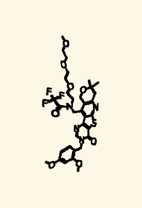 COCCOCCOCCN(Cc1c2c(nc3sc4c(=O)n(Cc5ccc(OC)cc5OC)cnc4c13)CC(C)(C)OC2)C(=O)C(F)(F)F